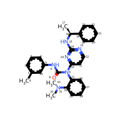 Cc1cccc(NC(=O)N(c2ccnc(N[C@@H](C)c3ccccc3)n2)c2ccccc2N(C)C)c1